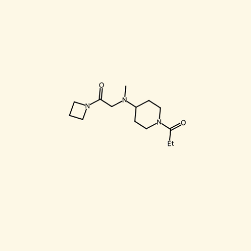 CCC(=O)N1CCC(N(C)CC(=O)N2CCC2)CC1